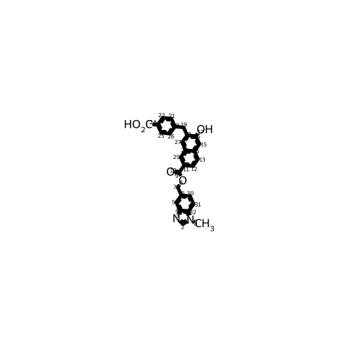 Cn1cnc2cc(COC(=O)c3ccc4cc(O)c(Cc5ccc(C(=O)O)cc5)cc4c3)ccc21